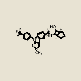 Cn1cc2c3cc(C(=O)N[C@@H]4[C@H](O)[C@@H]5CCC[C@@H]54)ccc3n(-c3ccc(C(F)(F)F)cc3)c2n1